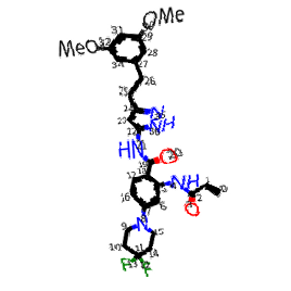 C=CC(=O)Nc1cc(N2CCC(F)(F)CC2)ccc1C(=O)Nc1cc(CCc2cc(OC)cc(OC)c2)n[nH]1